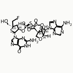 Nc1nc2c(ncn2[C@@H]2S[C@@](CO)(CF)C[C@H]2OP(O)(=S)OC[C@@]23CO[C@@H]([C@H](n4cnc5c(N)ncnc54)O2)[C@@H]3O[PH](=O)O)c(=O)[nH]1